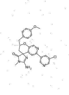 COc1ccc(C[C@]2(C)CC3(N=C(N)N(C)C3=O)c3cc(-c4cncc(Cl)c4)ncc3O2)cc1